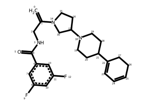 C=C(CNC(=O)c1cc(F)cc(F)c1)N1CCC(N2CCC(C3=CC=CCC3)CC2)C1